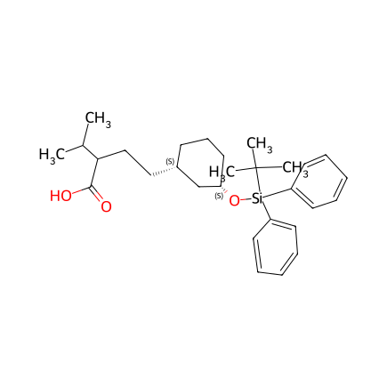 CC(C)C(CC[C@@H]1CCC[C@H](O[Si](c2ccccc2)(c2ccccc2)C(C)(C)C)C1)C(=O)O